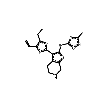 C=Cc1nc(-c2c(Nc3nc(C)no3)sc3c2CCNC3)sc1CC